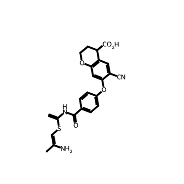 C=C(NC(=O)c1ccc(Oc2cc3c(cc2C#N)C(C(=O)O)CCO3)cc1)S/C=C(/C)N